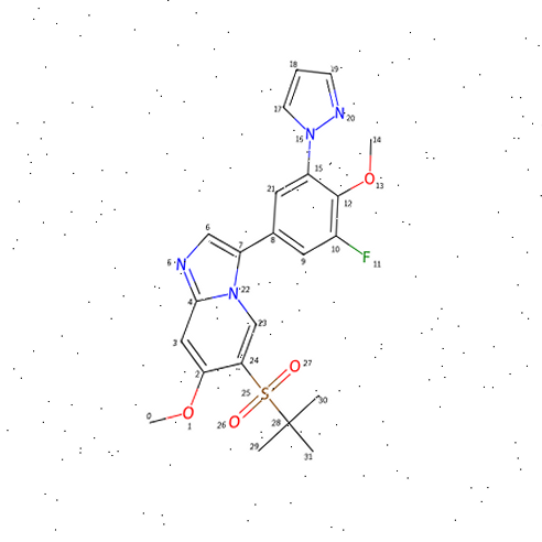 COc1cc2ncc(-c3cc(F)c(OC)c(-n4cccn4)c3)n2cc1S(=O)(=O)C(C)(C)C